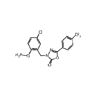 O=c1oc(-c2ccc(C(F)(F)F)cc2)nn1Cc1cc(Cl)ccc1OP